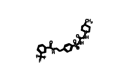 CC1CCN(NC(=O)NS(=O)(=O)c2ccc(CCNC(=O)c3cccc(C(F)(F)F)c3)cc2)CC1